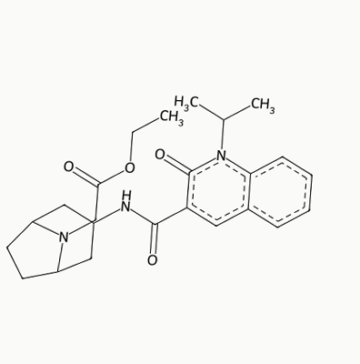 CCOC(=O)CN1C2CCC1CC(NC(=O)c1cc3ccccc3n(C(C)C)c1=O)C2